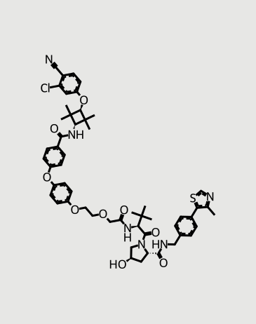 Cc1ncsc1-c1ccc(CNC(=O)[C@@H]2C[C@@H](O)CN2C(=O)[C@@H](NC(=O)COCCOc2ccc(Oc3ccc(C(=O)N[C@H]4C(C)(C)[C@H](Oc5ccc(C#N)c(Cl)c5)C4(C)C)cc3)cc2)C(C)(C)C)cc1